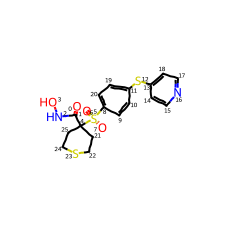 O=C(NO)C1(S(=O)(=O)c2ccc(Sc3ccncc3)cc2)CCSCC1